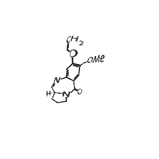 C=COc1cc2c(cc1OC)C(=O)N1CCC[C@H]1C=N2